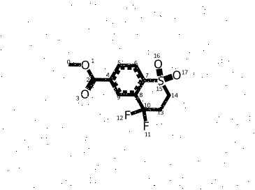 COC(=O)c1ccc2c(c1)C(F)(F)CCS2(=O)=O